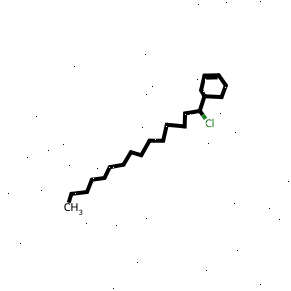 CCCCCCCCCCCCCCC(Cl)C1CC=CCC1